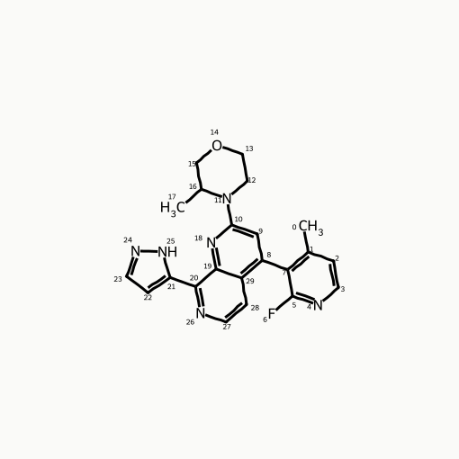 Cc1ccnc(F)c1-c1cc(N2CCOCC2C)nc2c(-c3ccn[nH]3)nccc12